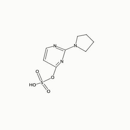 O=S(=O)(O)Oc1ccnc(N2CCCC2)n1